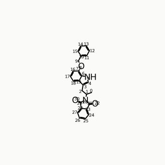 CC(Cc1c[nH]c2c(OCc3ccccc3)cccc12)N1C(=O)c2ccccc2C1=O